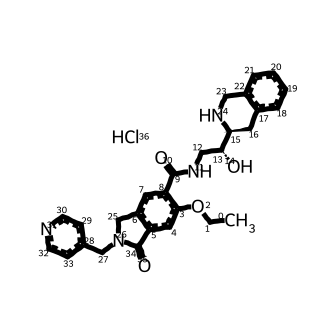 CCOc1cc2c(cc1C(=O)NC[C@@H](O)[C@@H]1Cc3ccccc3CN1)CN(Cc1ccncc1)C2=O.Cl